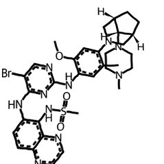 COc1cc(N2C[C@H]3CC[C@@H](C2)[C@H]3N2CCN(C)CC2)c(C)cc1Nc1ncc(Br)c(Nc2ccc3nccnc3c2NS(C)(=O)=O)n1